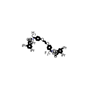 C/C(=N\OS(=O)(=O)Cc1c(C(C)C)cc(C(C)C)cc1C(C)C)c1ccc(OCCCOc2ccc(/C(=N/OS(=O)(=O)Cc3c(C(C)C)cc(C(C)C)cc3C(C)C)C(F)(F)F)cc2)cc1